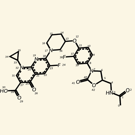 CC(=O)NCC1CN(c2ccc(OC3CCCN(c4nc5c(cc4F)c(=O)c(C(=O)O)cn5C4CC4)C3)c(F)c2)C(=O)O1